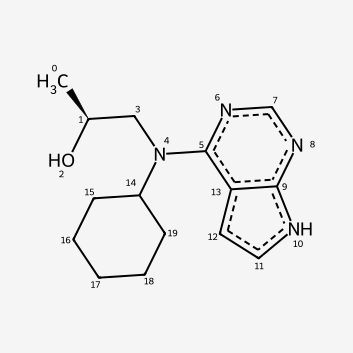 C[C@H](O)CN(c1ncnc2[nH]ccc12)C1CCCCC1